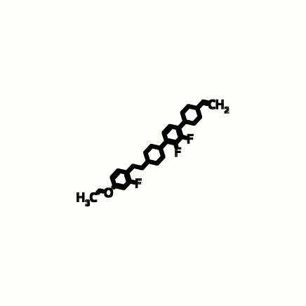 C=CC1CCC(c2ccc(C3CCC(CCc4ccc(OCC)cc4F)CC3)c(F)c2F)CC1